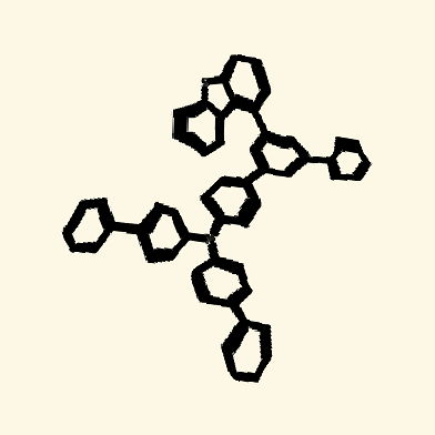 c1ccc(-c2ccc(N(c3ccc(-c4ccccc4)cc3)c3ccc(-c4cc(-c5ccccc5)cc(-c5cccc6sc7ccccc7c56)c4)cc3)cc2)cc1